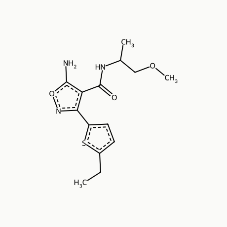 CCc1ccc(-c2noc(N)c2C(=O)NC(C)COC)s1